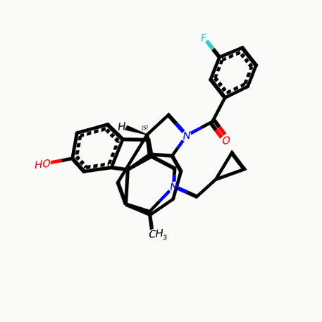 CC1N(CC2CC2)CC2Cc3ccc(O)cc3C23C2C4CCCC13C[C@@H]2CN4C(=O)c1cccc(F)c1